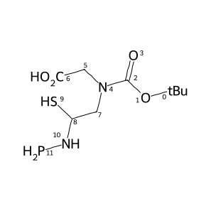 CC(C)(C)OC(=O)N(CC(=O)O)CC(S)NP